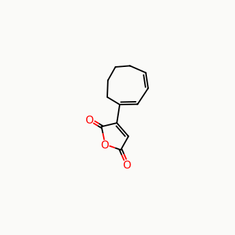 O=C1C=C(C2=CC=CCCCC2)C(=O)O1